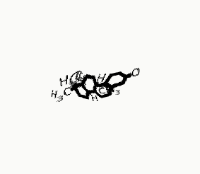 CC1(C)CC[C@H]2C3CCC4=CC(=O)CC[C@]4(C)[C@H]3CC[C@@]21C